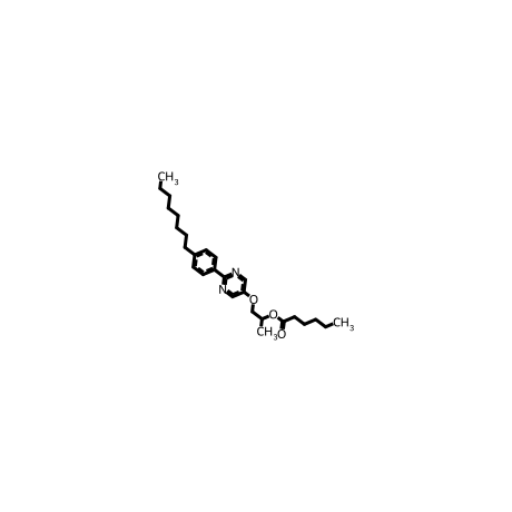 CCCCCCCCc1ccc(-c2ncc(OCC(C)OC(=O)CCCCC)cn2)cc1